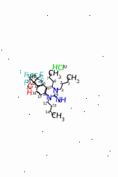 CCCCN(CCCC)C(=N)N(CCCC)c1ccc(C(O)(C(F)(F)F)C(F)(F)F)cc1.Cl